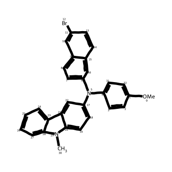 COc1ccc(N(c2ccc3cc(Br)ccc3c2)c2ccc3c(c2)c2ccccc2n3C)cc1